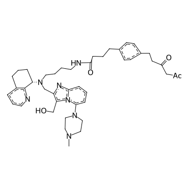 CC(=O)CC(=O)CCc1ccc(CCCC(=O)NCCCCN(Cc2nc3cccc(N4CCN(C)CC4)n3c2CO)[C@H]2CCCc3cccnc32)cc1